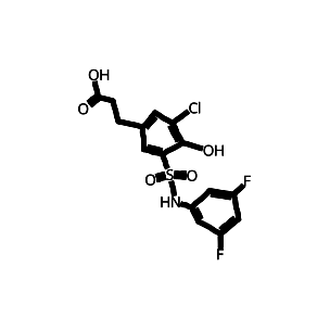 O=C(O)CCc1cc(Cl)c(O)c(S(=O)(=O)Nc2cc(F)cc(F)c2)c1